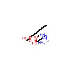 CCCCCCCCCCCCCCOC(=O)C(C)O.CCO.N=C(N)NCCCC(N)C(=O)O